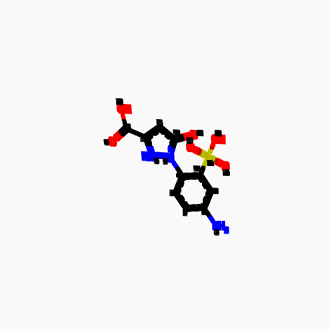 Nc1ccc(-n2[nH]c(C(=O)O)cc2=O)c(S(=O)(=O)O)c1